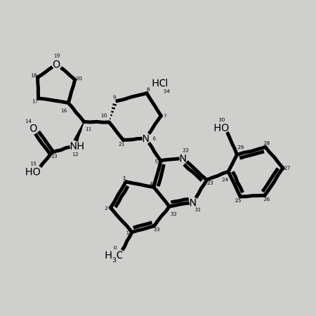 Cc1ccc2c(N3CCC[C@@H]([C@@H](NC(=O)O)C4CCOC4)C3)nc(-c3ccccc3O)nc2c1.Cl